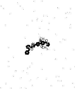 COc1cc(C(=O)N2CCCC2)cc(OC)c1-c1ccc(-c2cn(C(=O)N3CCCCC3Cc3ccccc3)nn2)cc1